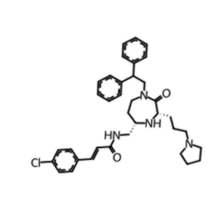 O=C(C=Cc1ccc(Cl)cc1)NC[C@@H]1CCN(CC(c2ccccc2)c2ccccc2)C(=O)[C@H](CCCN2CCCC2)N1